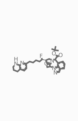 CC(C)(C)OC(=O)C(c1cccc2cnn(C3COC3)c12)N1CC[C@@H](C(F)CCCCc2ccc3c(n2)NCCC3)C1